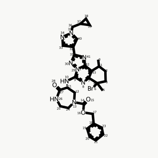 CC1CCC(C)(Br)c2nc(N[C@@H]3CN(C(=O)OCc4ccccc4)CCNC3=O)n3nc(-c4cnn(CC5CC5)c4)nc3c21